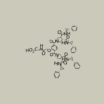 O=C(O)CNC(=O)COc1cc(C(=O)N2C[C@@H](C(=O)N[C@H]3C[C@@H]3c3ccccc3)[C@H](C(=O)N[C@H]3C[C@@H]3c3ccccc3)C2)ccc1C(=O)N1C[C@@H](C(=O)N[C@H]2C[C@@H]2c2ccccc2)[C@H](C(=O)N[C@H]2C[C@@H]2c2ccccc2)C1